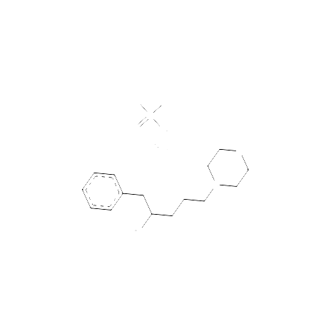 CCCCCCCCCCC(CCCN1CCOCC1)Cc1ccccc1.N.O=P(O)(O)O